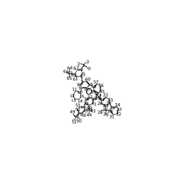 CC(C)(C)c1cc(-c2cc(C3CCCCC3)c3oc4c(N(c5ccc6c(c5)C(C)(C)c5ccccc5-6)c5ccc6c(c5)C(C)(C)c5cc(C(C)(C)C)ccc5-6)cccc4c3c2)cc(C(C)(C)C)c1